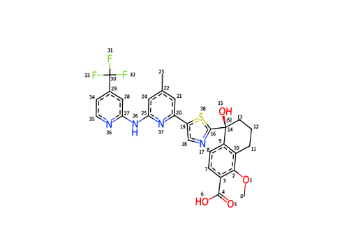 COc1c(C(=O)O)ccc2c1CCC[C@@]2(O)c1ncc(-c2cc(C)cc(Nc3cc(C(F)(F)F)ccn3)n2)s1